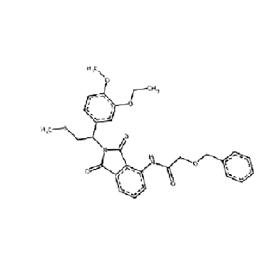 CCOc1cc(C(CSC)N2C(=O)c3cccc(NC(=O)COCc4ccccc4)c3C2=O)ccc1OC